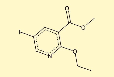 CCOc1ncc(I)cc1C(=O)OC